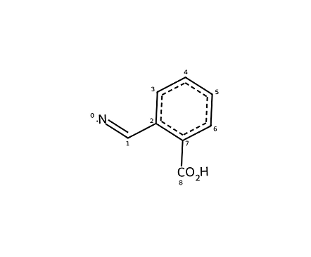 [N]=Cc1ccccc1C(=O)O